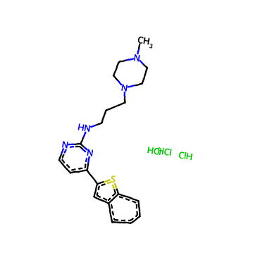 CN1CCN(CCCNc2nccc(-c3cc4ccccc4s3)n2)CC1.Cl.Cl.Cl